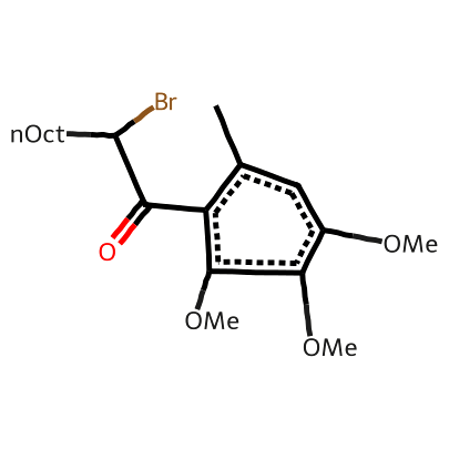 CCCCCCCCC(Br)C(=O)c1c(C)cc(OC)c(OC)c1OC